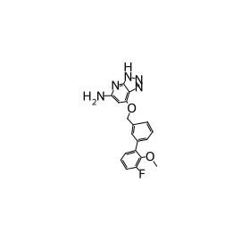 COc1c(F)cccc1-c1cccc(COc2cc(N)nc3[nH]nnc23)c1